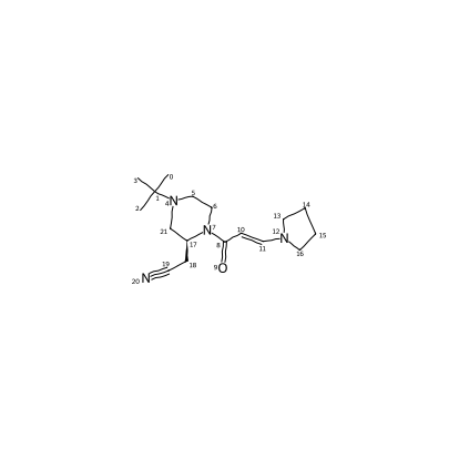 CC(C)(C)N1CCN(C(=O)/C=C/N2CCCC2)[C@@H](CC#N)C1